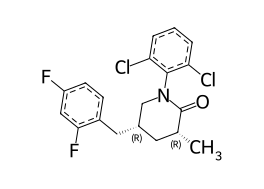 C[C@@H]1C[C@H](Cc2ccc(F)cc2F)CN(c2c(Cl)cccc2Cl)C1=O